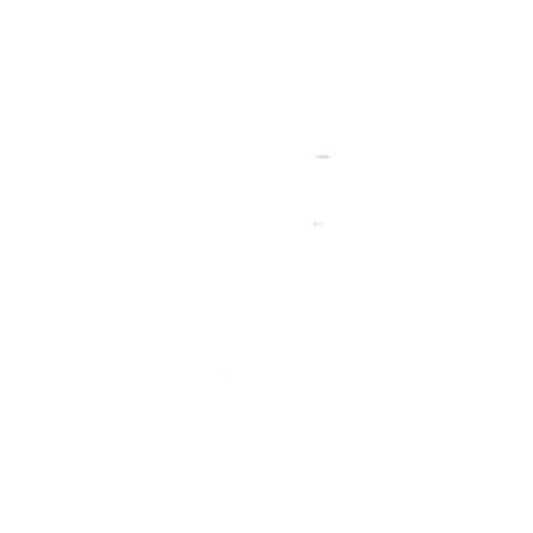 CCNC(CC)(CC)C(CC)(CC)c1ccc(/C=C/c2ccc(N(c3cccc(-c4cccc(OCCCCOCC5(C)COC5)c4)c3)C(CC)(CC)c3ccccc3)cc2)cc1